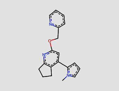 Cn1cccc1-c1cc(OCc2ccccn2)nc2c1CCC2